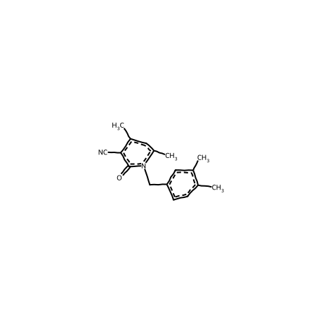 Cc1ccc(Cn2c(C)cc(C)c(C#N)c2=O)cc1C